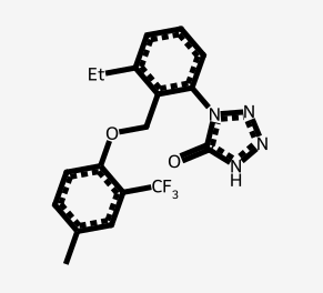 CCc1cccc(-n2nn[nH]c2=O)c1COc1ccc(C)cc1C(F)(F)F